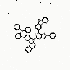 c1ccc(-c2cc3nc(-n4c5ccc(-c6cccc7c8ccccc8n(-c8ccccc8)c67)cc5c5c6ccccc6ccc54)nc(-c4ccc5sc6ccccc6c5c4)c3s2)cc1